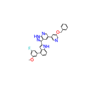 COc1cc(F)cc(-c2cccc3[nH]c(-c4n[nH]c5ncc(-c6cncc(OCc7ccccc7)c6)cc45)cc23)c1